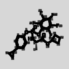 C[C@H](NP(=O)(Oc1ccc(C2CC2)cc1)Oc1c(F)c(F)c(F)c(F)c1F)C(=O)OC1CCC1